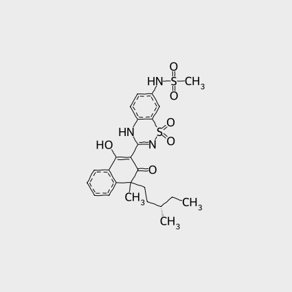 CC[C@H](C)CCC1(C)C(=O)C(C2=NS(=O)(=O)c3cc(NS(C)(=O)=O)ccc3N2)=C(O)c2ccccc21